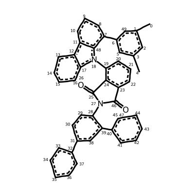 Cc1cc(C)cc(-c2cccc3c4ccccc4n(-c4cccc5c4C(=O)N(c4ccc(-c6ccccc6)cc4-c4ccccc4)C5=O)c23)c1